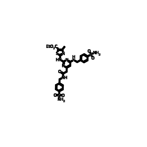 CCOC(=O)c1sc(Nc2nc(CC(=O)NCc3ccc(S(N)(=O)=O)cc3)cc(NCc3ccc(S(N)(=O)=O)cc3)n2)nc1C